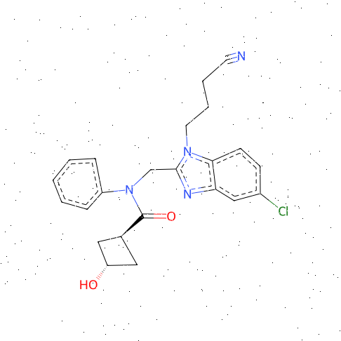 N#CCCCn1c(CN(c2ccccc2)C(=O)[C@H]2C[C@H](O)C2)nc2cc(Cl)ccc21